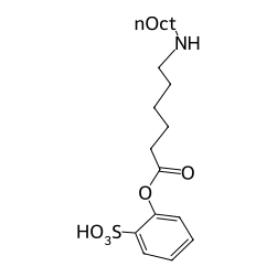 CCCCCCCCNCCCCCC(=O)Oc1ccccc1S(=O)(=O)O